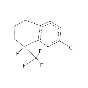 FC(F)(F)C1(F)CCCc2ccc(Cl)cc21